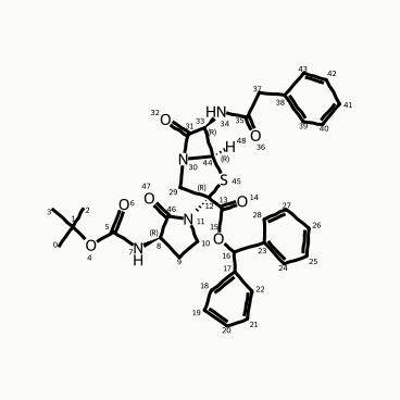 CC(C)(C)OC(=O)N[C@@H]1CCN([C@]2(C(=O)OC(c3ccccc3)c3ccccc3)CN3C(=O)[C@@H](NC(=O)Cc4ccccc4)[C@H]3S2)C1=O